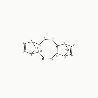 C1=CC2CC1C1CCC3C4C=CC(C4)C3CCC21